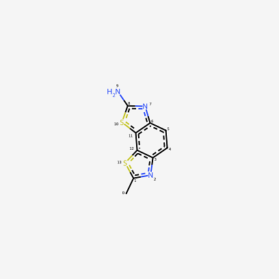 Cc1nc2ccc3nc(N)sc3c2s1